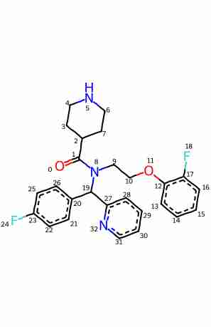 O=C(C1CCNCC1)N(CCOc1ccccc1F)C(c1ccc(F)cc1)c1ccccn1